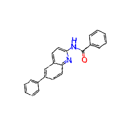 O=C(Nc1ccc2cc(-c3ccccc3)ccc2n1)c1ccccc1